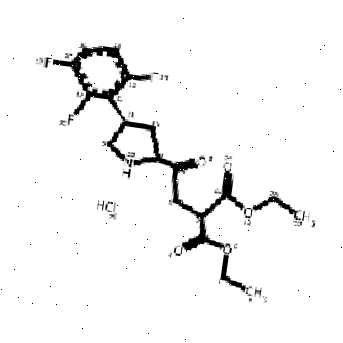 CCOC(=O)C(CC(=O)C1C[C@H](c2c(F)ccc(F)c2F)CN1)C(=O)OCC.Cl